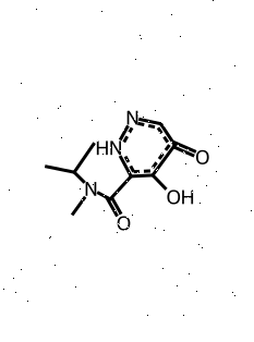 CC(C)N(C)C(=O)c1[nH]ncc(=O)c1O